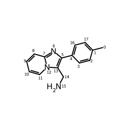 Cc1ccc(-c2nc3ccccn3c2CN)cc1